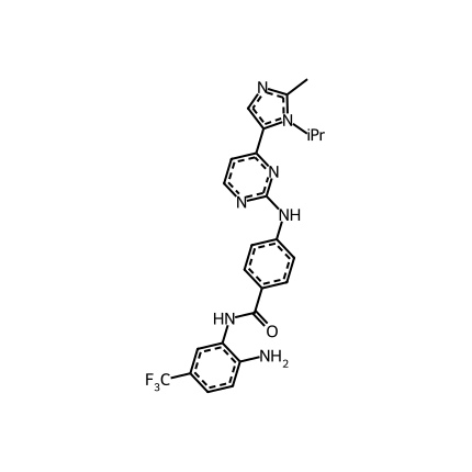 Cc1ncc(-c2ccnc(Nc3ccc(C(=O)Nc4cc(C(F)(F)F)ccc4N)cc3)n2)n1C(C)C